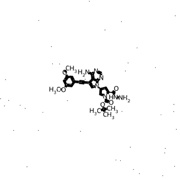 COc1cc(C#Cc2cn([C@H]3C[C@@H](C(=O)NN)N(C(=O)OC(C)(C)C)C3)c3ncnc(N)c23)cc(OC)c1